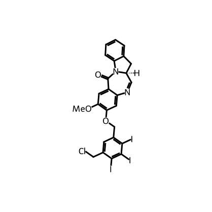 COc1cc2c(cc1OCc1cc(CCl)c(I)c(I)c1I)N=C[C@@H]1Cc3ccccc3N1C2=O